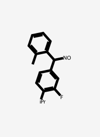 Cc1ccccc1C(N=O)c1ccc(C(C)C)c(F)c1